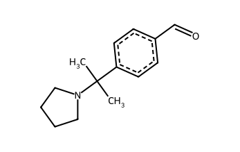 CC(C)(c1ccc(C=O)cc1)N1CCCC1